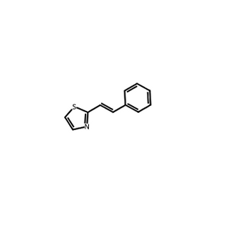 C(=Cc1nccs1)c1ccccc1